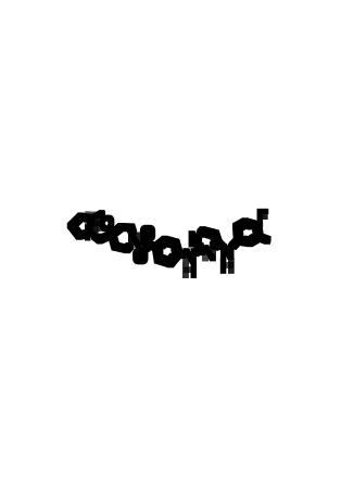 Cc1cc(Nc2ccnc(Nc3ccc(S(=O)(=O)N4CCC(O)(CN5CCC[C@H]5C)CC4)cc3)n2)ccc1F